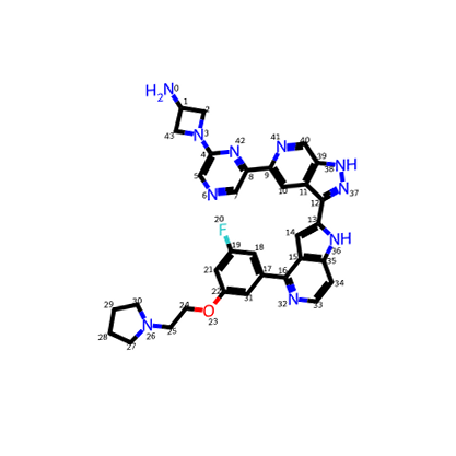 NC1CN(c2cncc(-c3cc4c(-c5cc6c(-c7cc(F)cc(OCCN8CCCC8)c7)nccc6[nH]5)n[nH]c4cn3)n2)C1